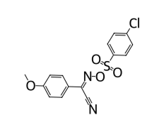 COc1ccc(C(C#N)=NOS(=O)(=O)c2ccc(Cl)cc2)cc1